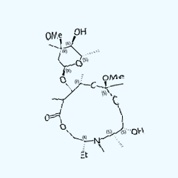 CC[C@@H]1COC(=O)C(C)C(O[C@H]2C[C@@](C)(OC)[C@@H](O)[C@H](C)O2)[C@H](C)C[C@@](C)(OC)CC[C@H](O)[C@H](C)N1C